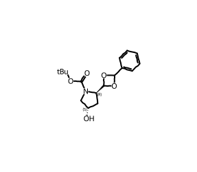 CC(C)(C)OC(=O)N1C[C@@H](O)C[C@@H]1C1OC(c2ccccc2)O1